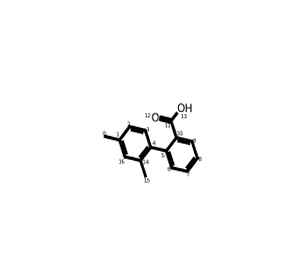 Cc1ccc(-c2ccccc2C(=O)O)c(C)c1